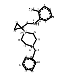 Clc1ccccc1NCC1(N2CCN(Cc3ccccc3)CC2)CC1